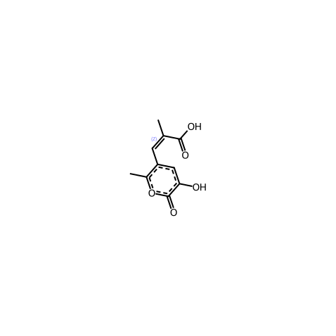 C/C(=C/c1cc(O)c(=O)oc1C)C(=O)O